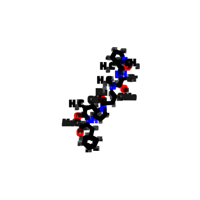 CC[C@H](C)[C@@H]([C@@H](CC(=O)N1CCC[C@H]1[C@H](OC)[C@@H](C)C(=O)N[C@@H](Cc1ccccc1)C(=O)OC)OC)N(C)C(=O)[C@@H](NC(=O)[C@@]1(C)CCCN1C)C(C)C